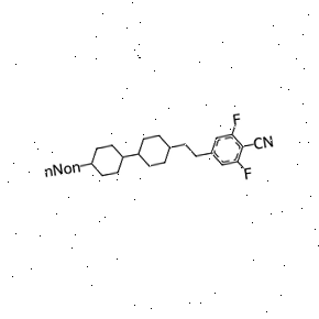 CCCCCCCCCC1CCC(C2CCC(CCc3cc(F)c(C#N)c(F)c3)CC2)CC1